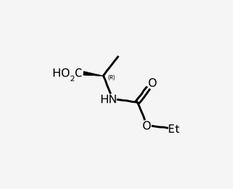 CCOC(=O)N[C@H](C)C(=O)O